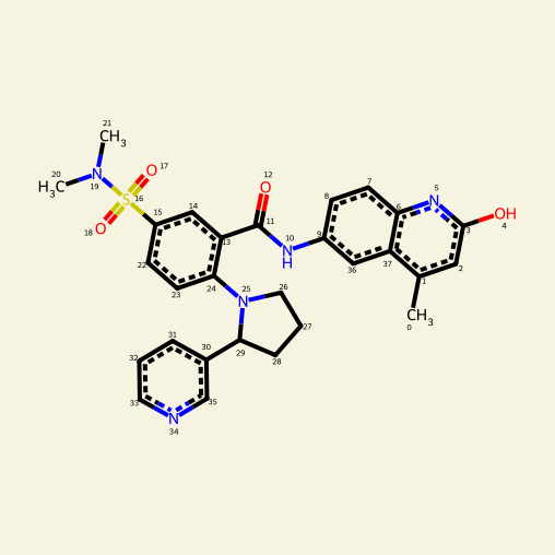 Cc1cc(O)nc2ccc(NC(=O)c3cc(S(=O)(=O)N(C)C)ccc3N3CCCC3c3cccnc3)cc12